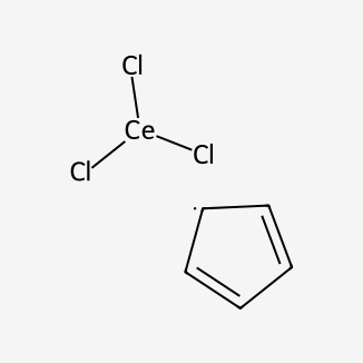 [CH]1C=CC=C1.[Cl][Ce]([Cl])[Cl]